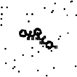 O=C(Nc1ccc(Cl)cc1)Nc1ccccc1NS(=O)(=O)c1ccccc1